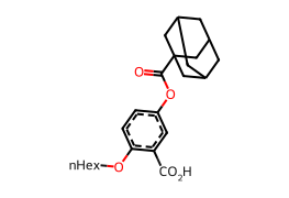 CCCCCCOc1ccc(OC(=O)C23CC4CC(CC(C4)C2)C3)cc1C(=O)O